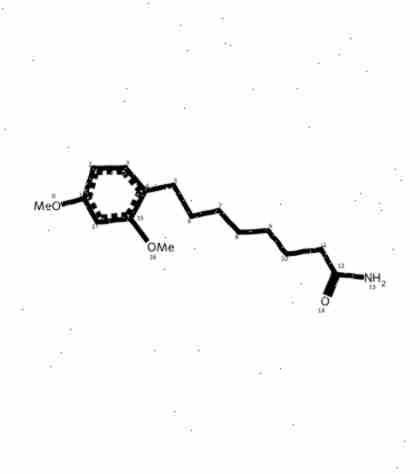 COc1ccc(CCCCCCCC(N)=O)c(OC)c1